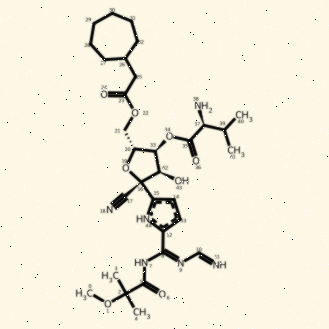 COC(C)(C)C(=O)N/C(=N/C=N)c1ccc([C@]2(C#N)O[C@H](COC(=O)CC3CCCCCC3)[C@@H](OC(=O)[C@@H](N)C(C)C)[C@H]2O)[nH]1